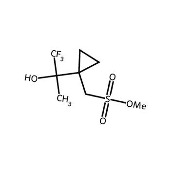 COS(=O)(=O)CC1(C(C)(O)C(F)(F)F)CC1